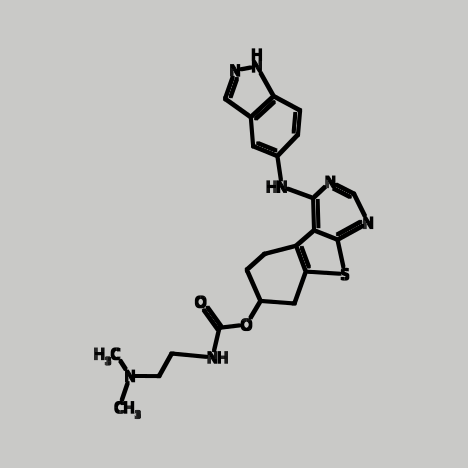 CN(C)CCNC(=O)OC1CCc2c(sc3ncnc(Nc4ccc5[nH]ncc5c4)c23)C1